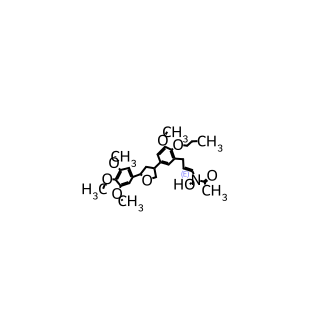 CCCOc1c(C/C=C/N(O)C(C)=O)cc(C2COC(c3cc(OC)c(OC)c(OC)c3)C2)cc1OC